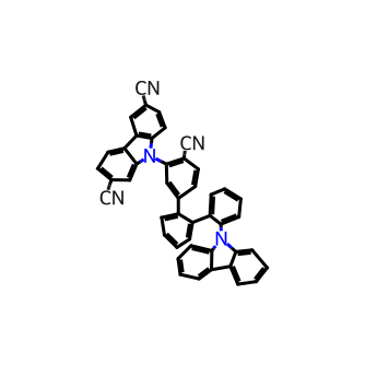 N#Cc1ccc2c(c1)c1ccc(C#N)cc1n2-c1cc(-c2ccccc2-c2ccccc2-n2c3ccccc3c3ccccc32)ccc1C#N